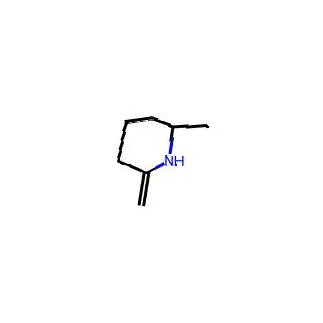 C=C1CCCC(C)N1